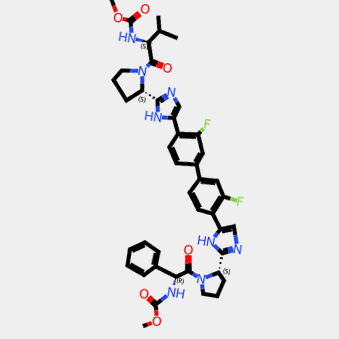 COC(=O)N[C@H](C(=O)N1CCC[C@H]1c1ncc(-c2ccc(-c3ccc(-c4cnc([C@@H]5CCCN5C(=O)[C@H](NC(=O)OC)c5ccccc5)[nH]4)c(F)c3)cc2F)[nH]1)C(C)C